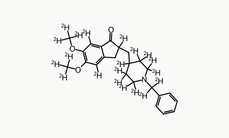 [2H]c1c2c(c([2H])c(OC([2H])([2H])[2H])c1OC([2H])([2H])[2H])C(=O)C([2H])(CC1([2H])C([2H])([2H])C([2H])([2H])N(C([2H])([2H])c3ccccc3)C([2H])([2H])C1([2H])[2H])C2